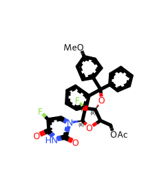 COc1ccc(C(O[C@@H]2[C](COC(C)=O)O[C@@H](n3cc(F)c(=O)[nH]c3=O)[C@H]2F)(c2ccccc2)c2ccccc2)cc1